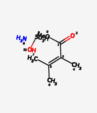 COC(=O)C(C)=C(C)C.N.O=S(=O)(O)O